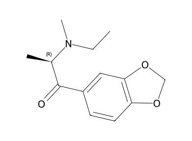 CCN(C)[C@H](C)C(=O)c1ccc2c(c1)OCO2